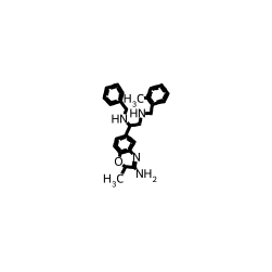 Cc1ccccc1CNCC(NCc1ccccc1)c1ccc2c(c1)N=C(N)C(C)O2